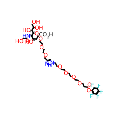 O=C(CO)N[C@H]1[C@H]([C@H](O)[C@H](O)CO)O[C@@](OCCOCCOCc2cn(CCOCCOCCOCCOCCC(=O)Oc3c(F)c(F)c(F)c(F)c3F)nn2)(C(=O)O)C[C@@H]1O